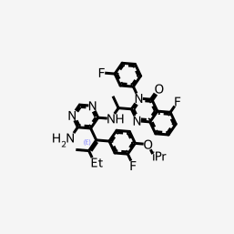 CC/C(C)=C(\c1ccc(OC(C)C)c(F)c1)c1c(N)ncnc1NC(C)c1nc2cccc(F)c2c(=O)n1-c1cccc(F)c1